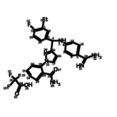 CCc1cc(C(Nc2ccc(C(=N)N)cc2)c2ccn(-c3ccccc3C(N)=O)n2)ccc1F.O=C(O)C(F)(F)F